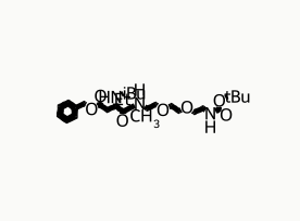 CCC(C)NC(CC(=O)OCc1ccccc1)C(=O)C(C)(CC)NCCOCCOCCNC(=O)OC(C)(C)C